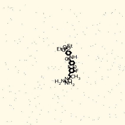 CCOP(=O)(OCC)c1ccc(N[S+]([O-])c2ccc(Oc3c(F)cc(/C=C(\C)C(=O)N=C(N)N)cc3F)cc2)cc1